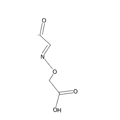 O=[C]C=NOCC(=O)O